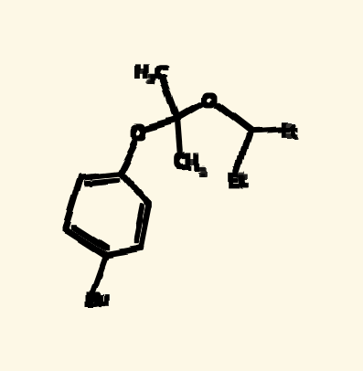 CCC(CC)OC(C)(C)Oc1ccc(C(C)CC)cc1